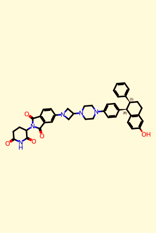 O=C1CCC(N2C(=O)c3ccc(N4CC(N5CCN(c6ccc([C@@H]7c8ccc(O)cc8CC[C@@H]7c7ccccc7)cc6)CC5)C4)cc3C2=O)C(=O)N1